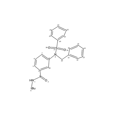 CC(C)(C)NC(=O)c1cccc(N(Cc2ccccc2)S(=O)(=O)c2ccccc2)c1